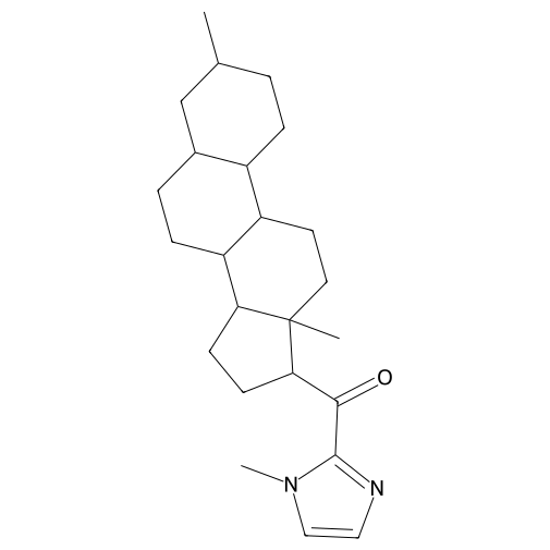 CC1CCC2C(CCC3C2CCC2(C)C(C(=O)c4nccn4C)CCC32)C1